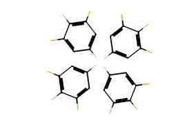 Fc1cc([B-](c2cc(F)c(F)c(F)c2)(c2cc(F)c(F)c(F)c2)c2cc(F)c(F)c(F)c2)cc(F)c1F.[K+]